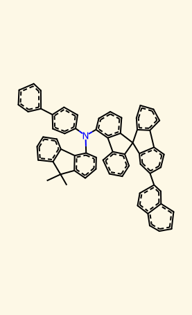 CC1(C)c2ccccc2-c2c(N(c3ccc(-c4ccccc4)cc3)c3cccc4c3-c3ccccc3C43c4ccccc4-c4ccc(-c5ccc6ccccc6c5)cc43)cccc21